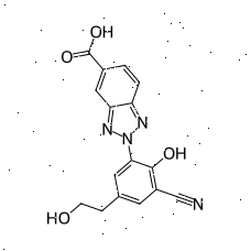 N#Cc1cc(CCO)cc(-n2nc3ccc(C(=O)O)cc3n2)c1O